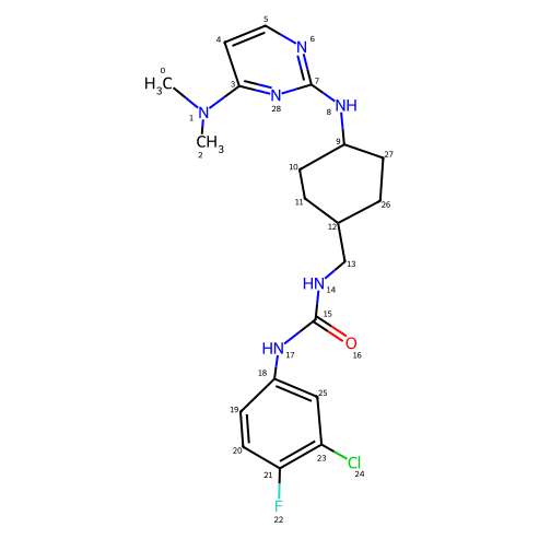 CN(C)c1ccnc(NC2CCC(CNC(=O)Nc3ccc(F)c(Cl)c3)CC2)n1